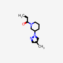 C=CC(=O)N1CCCC(n2cc(C)cn2)C1